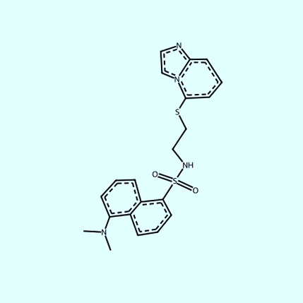 CN(C)c1cccc2c(S(=O)(=O)NCCSc3cccc4nccn34)cccc12